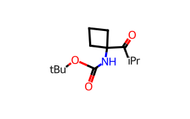 CC(C)C(=O)C1(NC(=O)OC(C)(C)C)CCC1